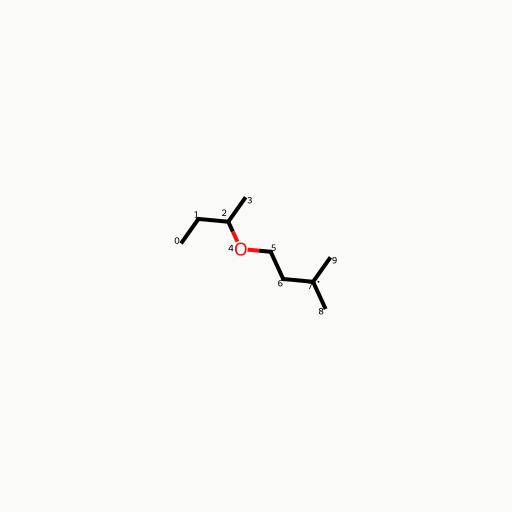 CCC(C)OCC[C](C)C